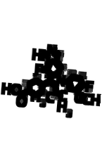 COc1cc(-n2c(C(C)C)c(C3CCC(C(=O)O)CC3)c3c(F)c4[nH]ncc4cc32)ccc1F